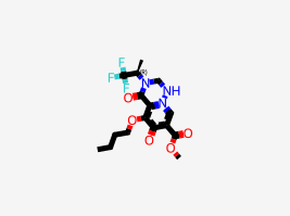 CCCCOc1c2n(cc(C(=O)OC)c1=O)NCN([C@H](C)C(F)(F)F)C2=O